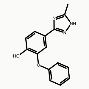 Cc1nc(-c2ccc(O)c(Oc3ccccc3)c2)n[nH]1